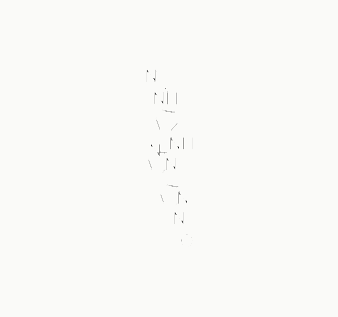 Cc1cc(Nc2nccc(-c3ccc(N4CCOCC4)nc3)n2)ccc1N1CCN2CC[C@H]1C2